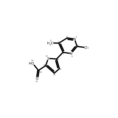 Cc1cnc(Cl)nc1-c1ccc(C(=O)O)s1